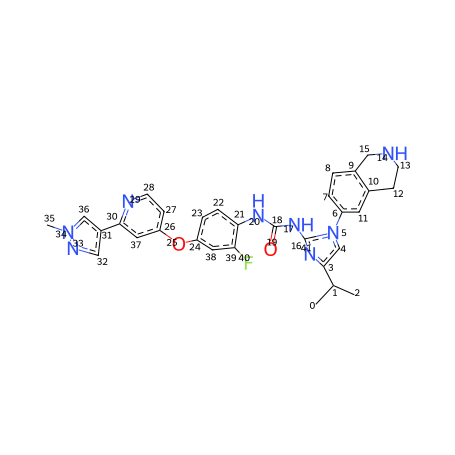 CC(C)c1cn(-c2ccc3c(c2)CCNC3)c(NC(=O)Nc2ccc(Oc3ccnc(-c4cnn(C)c4)c3)cc2F)n1